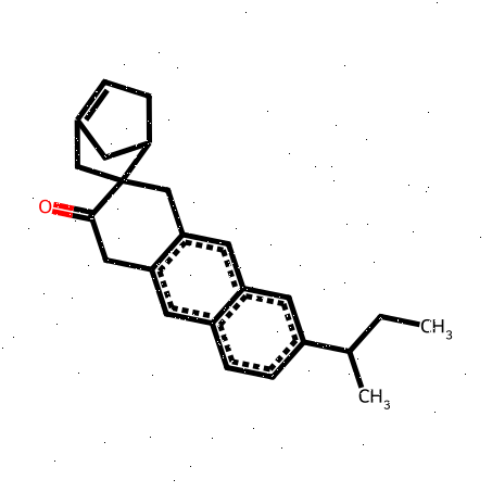 CCC(C)c1ccc2cc3c(cc2c1)CC1(CC2=CCC1C2)C(=O)C3